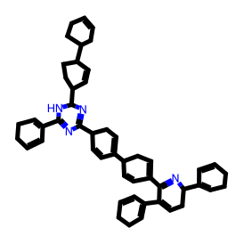 C1=CC(C2=CCC(C3=CCCC=C3)N=C2C2=CCC(C3=CCC(C4=NC(C5C=CC(C6CC=CCC6)CC5)NC(C5=CCCC=C5)=N4)C=C3)C=C2)=CCC1